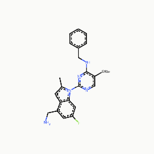 COc1cnc(-n2c(C)cc3c(CN)cc(F)cc32)nc1NCc1ccccc1